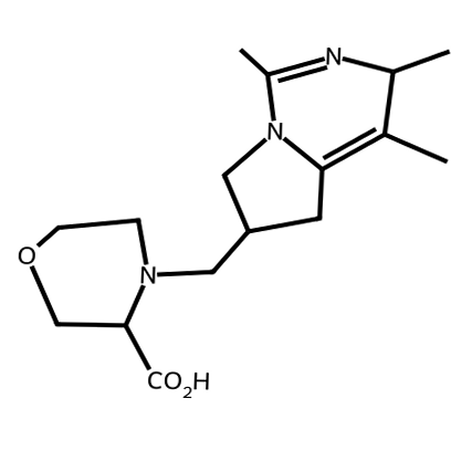 CC1=NC(C)C(C)=C2CC(CN3CCOCC3C(=O)O)CN12